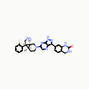 NC[C@]1(c2ccccc2F)[C@@H]2CCN(c3cnc4c(-c5ccc6c(c5)NC(=O)NC6)n[nH]c4n3)C[C@@H]21